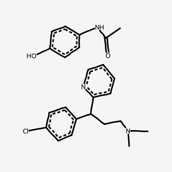 CC(=O)Nc1ccc(O)cc1.CN(C)CCC(c1ccc(Cl)cc1)c1ccccn1